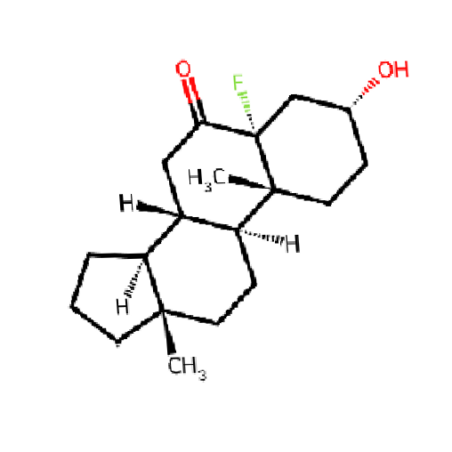 C[C@@]12[CH]CC[C@H]1[C@@H]1CC(=O)[C@@]3(F)C[C@H](O)CC[C@]3(C)[C@H]1CC2